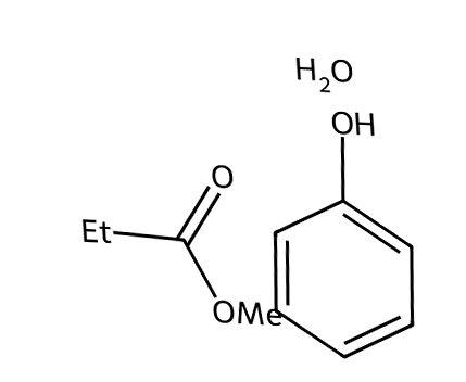 CCC(=O)OC.O.Oc1ccccc1